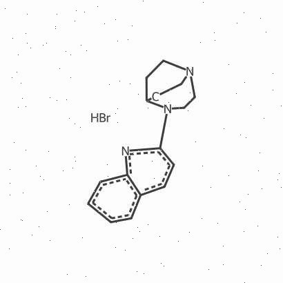 Br.c1ccc2nc(N3CCN4CCC3CC4)ccc2c1